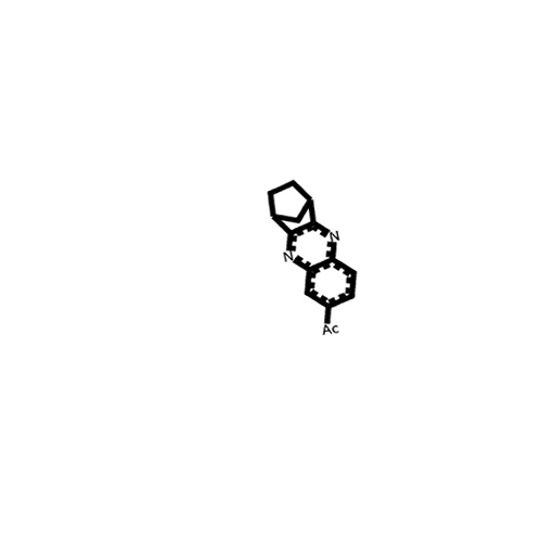 CC(=O)c1ccc2nc3c(nc2c1)C1CCC3C1